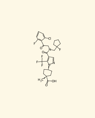 C[C@]1(C(=O)O)CC[C@H](n2ncc(C(=O)N(CC(=O)c3c(F)cccc3Cl)CC3(F)CCCC3)c2C(F)(F)F)CC1